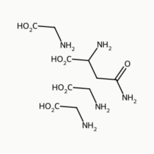 NC(=O)CC(N)C(=O)O.NCC(=O)O.NCC(=O)O.NCC(=O)O